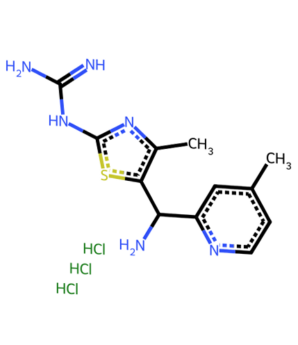 Cc1ccnc(C(N)c2sc(NC(=N)N)nc2C)c1.Cl.Cl.Cl